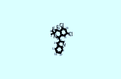 CC1(C)N=C(c2cnc3ccccc3c2)c2cc(Cl)cc(Cl)c2C1(F)F